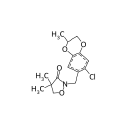 CC1COc2cc(Cl)c(CN3OCC(C)(C)C3=O)cc2O1